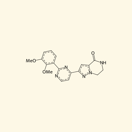 COc1cccc(-c2nccc(-c3cc4n(n3)CCNC4=O)n2)c1OC